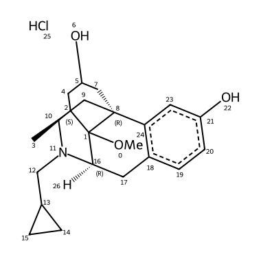 COC12[C@@H](C)CC(O)C[C@@]13CCN(CC1CC1)[C@@H]2Cc1ccc(O)cc13.Cl